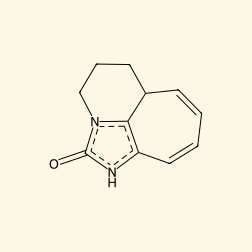 O=c1[nH]c2c3n1CCCC3C=CC=C2